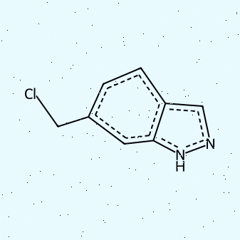 ClCc1ccc2cn[nH]c2c1